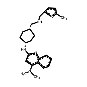 Cc1ccc(CNC[C@H]2CC[C@@H](Nc3cc(N(C)C)c4ccccc4n3)CC2)s1